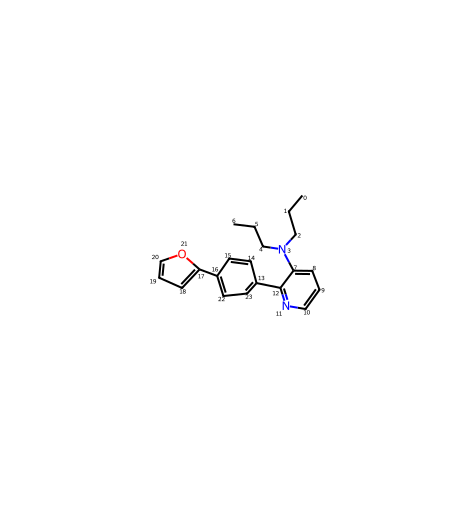 CCCN(CCC)c1cccnc1-c1ccc(-c2ccco2)cc1